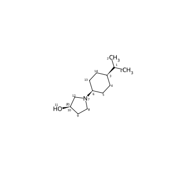 CC(C)[C@H]1CC[C@@H](N2CC[C@@H](O)C2)CC1